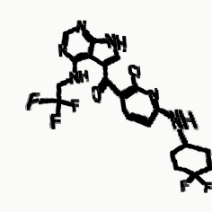 O=C(c1ccc(NC2CCC(F)(F)CC2)nc1Cl)c1c[nH]c2ncnc(NCC(F)(F)F)c12